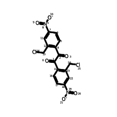 O=C(C(=O)c1ccc([N+](=O)[O-])cc1CCl)c1ccc([N+](=O)[O-])cc1CCl